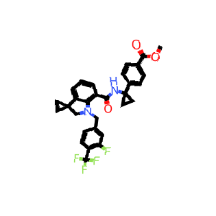 COC(=O)c1ccc(C2(NC(=O)c3cccc4c3N(Cc3ccc(C(F)(F)F)c(F)c3)CC43CC3)CC2)cc1